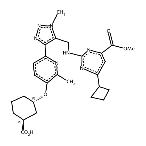 COC(=O)c1cc(C2CCC2)nc(NCc2c(-c3ccc(O[C@H]4CCC[C@H](C(=O)O)C4)c(C)n3)nnn2C)n1